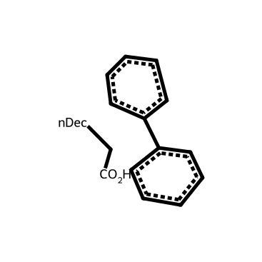 CCCCCCCCCCCC(=O)O.c1ccc(-c2ccccc2)cc1